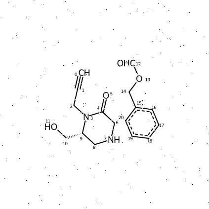 C#CCN1C(=O)CNC[C@@H]1CO.O=COCc1ccccc1